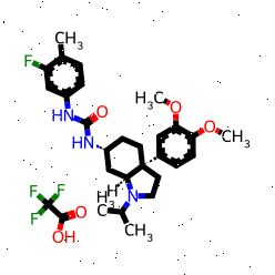 COc1ccc([C@@]23CC[C@@H](NC(=O)Nc4ccc(C)c(F)c4)C[C@@H]2N(C(C)C)CC3)cc1OC.O=C(O)C(F)(F)F